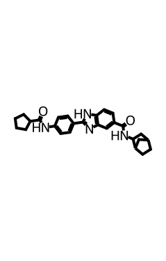 O=C(NC1CC2CCC1C2)c1ccc2[nH]c(-c3ccc(NC(=O)C4CCCC4)cc3)nc2c1